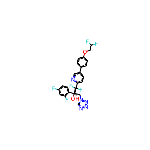 O[C@@](Cn1cnnn1)(c1ccc(F)cc1F)C(F)(F)c1ccc(-c2ccc(OCC(F)F)cc2)cn1